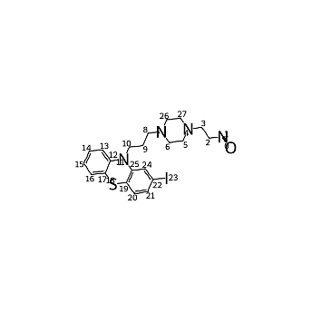 O=NCCN1CCN(CCCN2c3ccccc3Sc3ccc(I)cc32)CC1